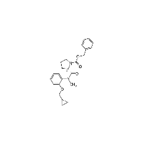 CN(C(=O)[C@@H]1CCCN1C(=O)OCc1ccccc1)c1ccccc1OCC1CC1